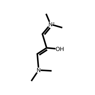 CN(C)/C=C(\O)C=[N+](C)C